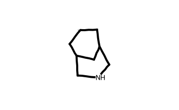 [CH]1CC2CNCC(C1)C2